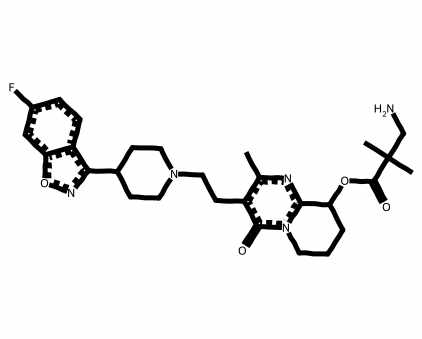 Cc1nc2n(c(=O)c1CCN1CCC(c3noc4cc(F)ccc34)CC1)CCCC2OC(=O)C(C)(C)CN